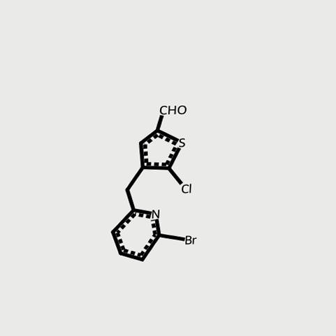 O=Cc1cc(Cc2cccc(Br)n2)c(Cl)s1